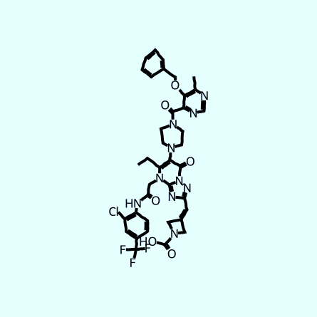 CCc1c(N2CCN(C(=O)c3ncnc(C)c3OCc3ccccc3)CC2)c(=O)n2nc(C=C3CN(C(=O)O)C3)nc2n1CC(=O)Nc1ccc(C(F)(F)F)cc1Cl